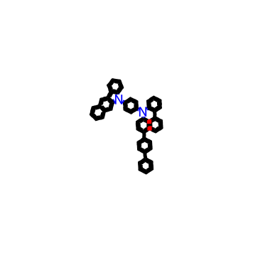 c1ccc(-c2ccc(-c3ccc(N(c4ccc(-n5c6ccccc6c6cc7ccccc7cc65)cc4)c4ccccc4-c4ccccc4)cc3)cc2)cc1